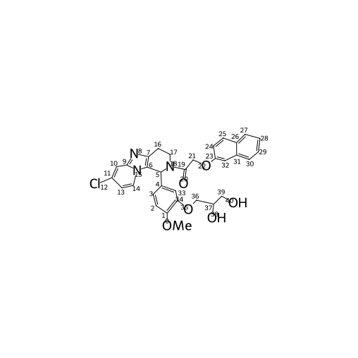 COc1ccc(C2c3c(nc4cc(Cl)ccn34)CCN2C(=O)COc2ccc3ccccc3c2)cc1OCC(O)CO